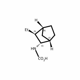 CC[C@H]1[C@@H]2CC[C@@H](C2)[C@@H]1NC(=O)O